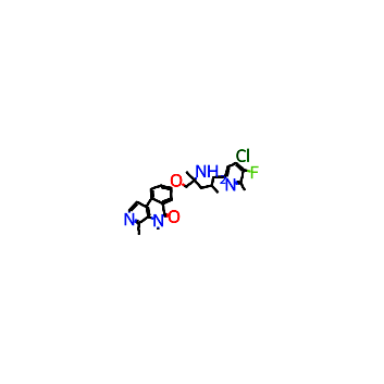 Cc1nc(CC(C)CC(C)(N)COc2ccc3c(c2)c(=O)n(C)c2c(C)nccc32)cc(Cl)c1F